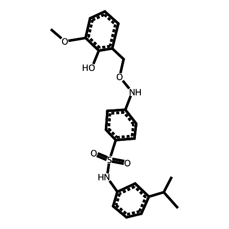 COc1cccc(CONc2ccc(S(=O)(=O)Nc3cccc(C(C)C)c3)cc2)c1O